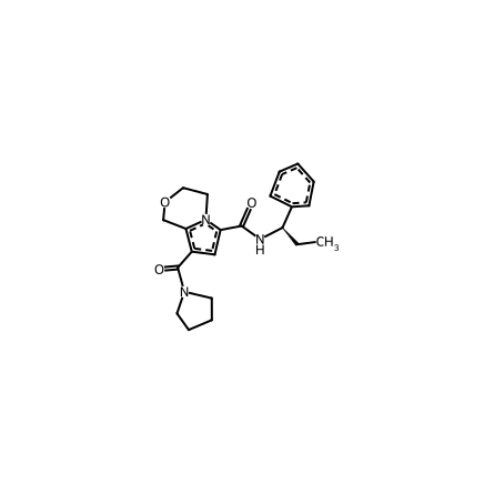 CC[C@@H](NC(=O)c1cc(C(=O)N2CCCC2)c2n1CCOC2)c1ccccc1